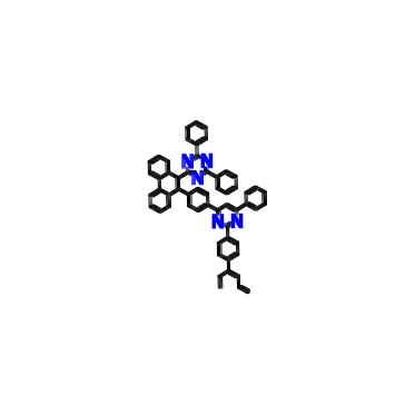 C=C/C=C(\C=C)c1ccc(-c2nc(-c3ccccc3)cc(-c3ccc(-c4c(-c5nc(-c6ccccc6)nc(-c6ccccc6)n5)c5ccccc5c5ccccc45)cc3)n2)cc1